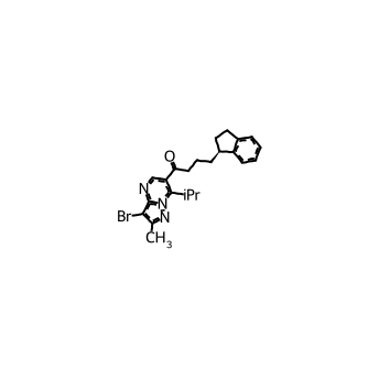 Cc1nn2c(C(C)C)c(C(=O)CCC[C@H]3CCc4ccccc43)cnc2c1Br